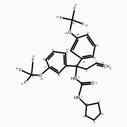 C=CCC(NC(=O)NC1CCCC1)(c1cccc(OC(F)(F)F)c1)c1cccc(OC(F)(F)F)c1